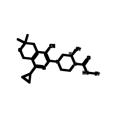 CC(C)NC(=O)N1CCN(c2nc(C3CC3)c3c(c2C#N)CC(C)(C)OC3)C[C@H]1C(C)C